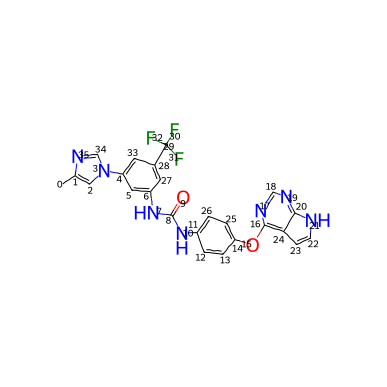 Cc1cn(-c2cc(NC(=O)Nc3ccc(Oc4ncnc5[nH]ccc45)cc3)cc(C(F)(F)F)c2)cn1